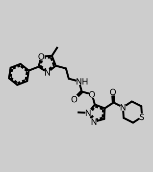 Cc1oc(-c2ccccc2)nc1CCNC(=O)Oc1c(C(=O)N2CCSCC2)cnn1C